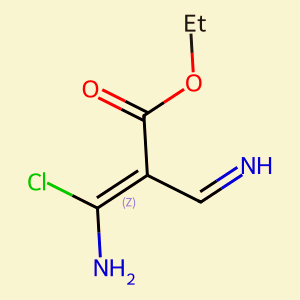 CCOC(=O)/C(C=N)=C(/N)Cl